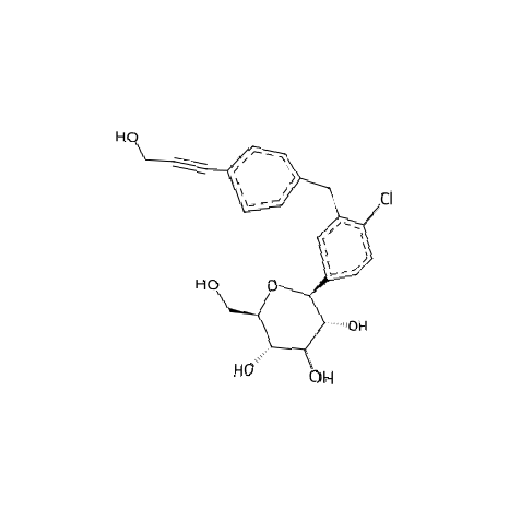 OCC#Cc1ccc(Cc2cc([C@@H]3O[C@H](CO)[C@@H](O)C(O)[C@H]3O)ccc2Cl)cc1